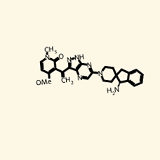 C=C(c1c(OC)ccn(C)c1=O)c1n[nH]c2nc(N3CCC4(CC3)Cc3ccccc3[C@H]4N)cnc12